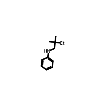 [CH2]CC(C)(C)CNc1ccccc1